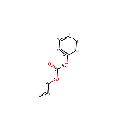 C=CCOC(=O)Oc1ccccc1